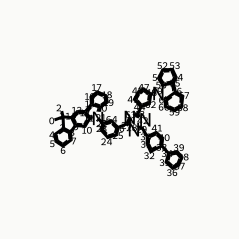 CC1(C)c2ccccc2-c2cc3c(cc21)c1ccccc1n3-c1cccc(-c2nc(-c3ccc(-c4ccccc4)cc3)nc(-c3cccc(-n4c5ccccc5c5ccccc54)c3)n2)c1